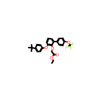 CCOC(=O)COc1c(Oc2ccc(C(C)(C)C)cc2)cccc1-c1ccc(OC(F)(F)F)cc1